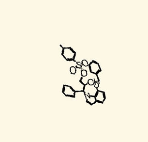 Cc1ccc(S(=O)(=O)OCC(O)C(c2ccccc2)n2ccc3cccc(OCc4ccccc4)c32)cc1